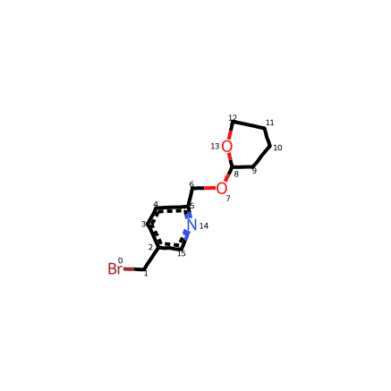 BrCc1ccc(COC2CCCCO2)nc1